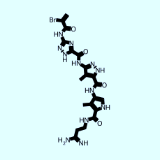 C=C(Br)C(=O)Nc1n[nH]c(C(=O)Nc2n[nH]c(C(=O)Nc3c[nH]c(C(=O)NCCC(=N)N)c3C)c2C)n1